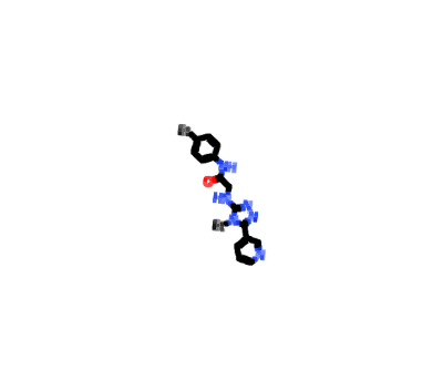 CCc1ccc(NC(=O)CNc2nnc(-c3cccnc3)n2CC)cc1